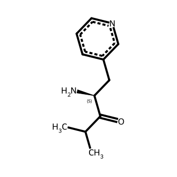 CC(C)C(=O)[C@@H](N)Cc1cccnc1